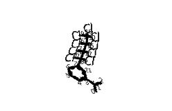 C[C](C)c1cccc(C(Cl)(Cl)C(Cl)(Cl)C(Cl)(Cl)C(Cl)(Cl)Cl)c1